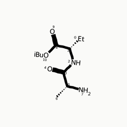 CC[C@H](NC(=O)[C@@H](C)N)C(=O)OCC(C)C